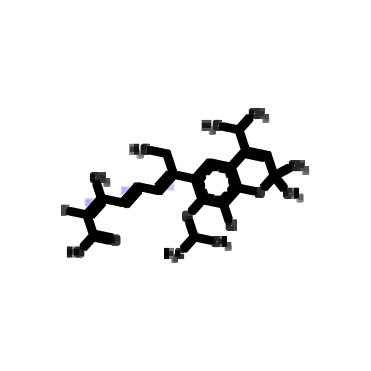 CC\C(=C/C=C/C(C)=C(/F)C(=O)O)c1cc2c(c(Cl)c1OC(C)C)OC(C)(C)C=C2C(C)C